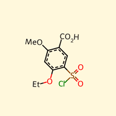 CCOc1cc(OC)c(C(=O)O)cc1S(=O)(=O)Cl